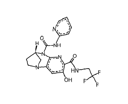 O=C(NCC(F)(F)F)c1nc2c(cc1O)N1CC[C@@H](C1)N2C(=O)Nc1ccccn1